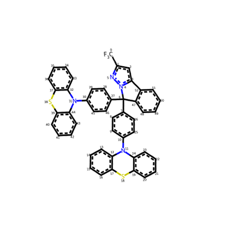 FC(F)(F)c1cc2n(n1)C(c1ccc(N3c4ccccc4Sc4ccccc43)cc1)(c1ccc(N3c4ccccc4Sc4ccccc43)cc1)c1ccccc1-2